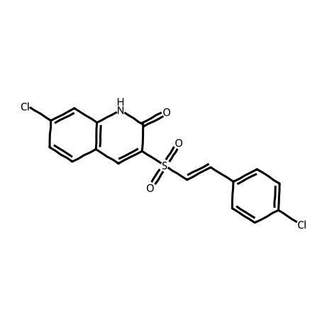 O=c1[nH]c2cc(Cl)ccc2cc1S(=O)(=O)/C=C/c1ccc(Cl)cc1